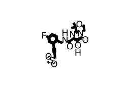 CC1(C)OCCn2c1nc(C(=O)NCc1ccc(F)cc1C#CCS(C)(=O)=O)c(O)c2=O